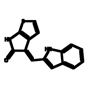 O=C1Nc2sccc2/C1=C\c1cc2ccccc2[nH]1